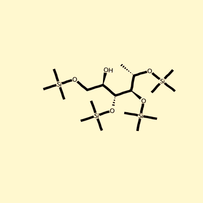 C[C@H](O[Si](C)(C)C)[C@@H](O[Si](C)(C)C)[C@H](O[Si](C)(C)C)[C@H](O)CO[Si](C)(C)C